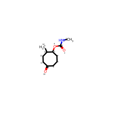 CNC(=O)OC1CCCC(=O)CCC1C